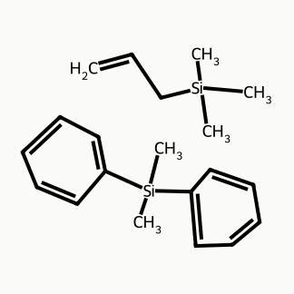 C=CC[Si](C)(C)C.C[Si](C)(c1ccccc1)c1ccccc1